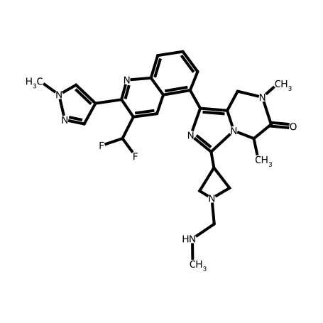 CNCN1CC(c2nc(-c3cccc4nc(-c5cnn(C)c5)c(C(F)F)cc34)c3n2C(C)C(=O)N(C)C3)C1